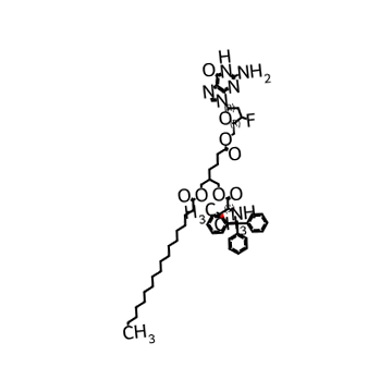 CCCCCCCCCCCCCCCCCC(=O)OCC(CCCC(=O)OC[C@H]1O[C@@H](n2cnc3c(=O)[nH]c(N)nc32)CC1F)COC(=O)[C@@H](NC(c1ccccc1)(c1ccccc1)c1ccccc1)C(C)C